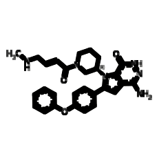 CNCC=CC(=O)N1CCC[C@@H](n2c(-c3ccc(Oc4ccccc4)cc3)cc3c(N)n[nH]c(=O)c32)C1